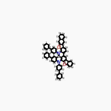 c1ccc(-c2ccc(N3B4c5cc(-c6ccccc6)ccc5N(c5ccc(-c6ccccc6)cc5)c5c4c(cc4c5oc5ccccc54)-c4ccc5c(oc6cc7ccccc7cc65)c43)cc2)cc1